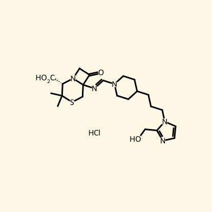 CC1(C)SCC2(N=CN3CCC(CCCn4ccnc4CO)CC3)C(=O)CN2[C@H]1C(=O)O.Cl